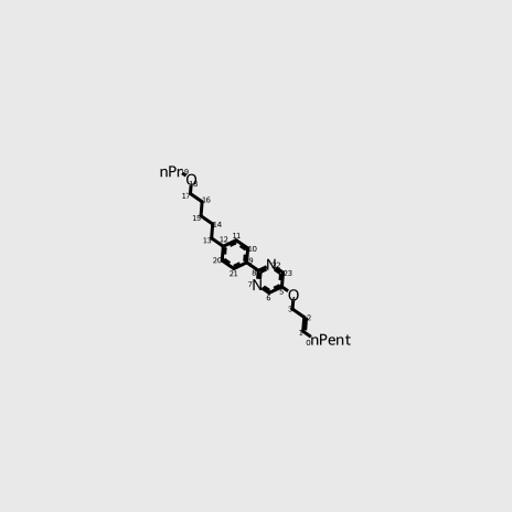 CCCCC/C=C/COc1cnc(-c2ccc(CCCCCOCCC)cc2)nc1